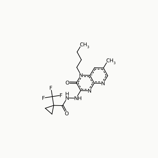 CCCCn1c(=O)c(NNC(=O)C2(C(F)(F)F)CC2)nc2ncc(C)cc21